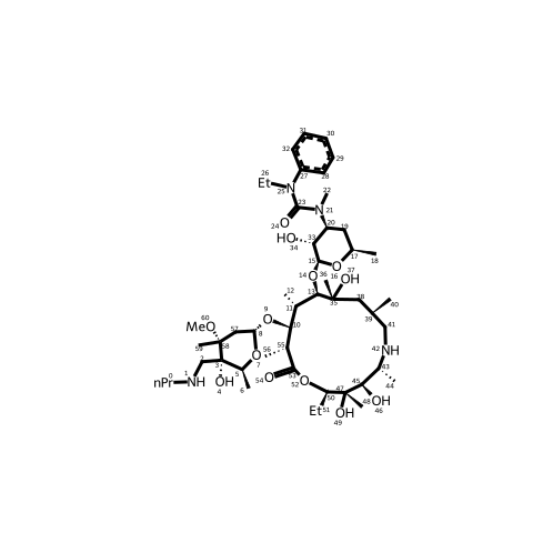 CCCNC[C@]1(O)[C@H](C)O[C@@H](O[C@H]2[C@H](C)[C@@H](O[C@@H]3O[C@H](C)C[C@H](N(C)C(=O)N(CC)c4ccccc4)[C@H]3O)[C@](C)(O)C[C@@H](C)CN[C@H](C)[C@@H](O)[C@](C)(O)[C@@H](CC)OC(=O)[C@@H]2C)C[C@@]1(C)OC